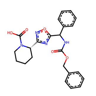 O=C(NC(c1ccccc1)c1nc([C@@H]2CCCCN2C(=O)O)no1)OCc1ccccc1